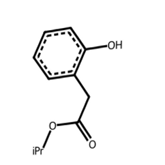 CC(C)OC(=O)Cc1ccccc1O